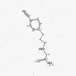 N#Cc1ccc(CCCNCC(N)=O)cc1